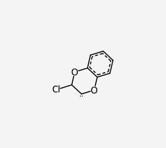 ClC1[C]Oc2ccccc2O1